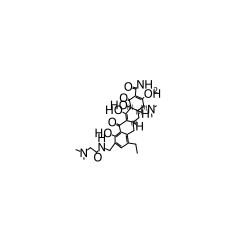 CCc1cc(CNC(=O)CN(C)C)c(O)c2c1C[C@H]1C[C@H]3[C@@H](N(C)C)C(O)=C(C(N)=O)C(=O)[C@@]3(O)C(O)=C1C2=O